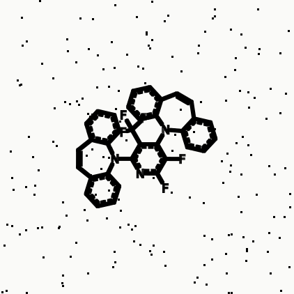 Fc1nc(N2c3ccccc3C=Cc3ccccc32)c(C(F)(F)F)c(N2c3ccccc3C=Cc3ccccc32)c1F